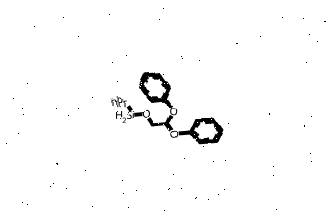 CCC[SiH2]OCC(Oc1ccccc1)Oc1ccccc1